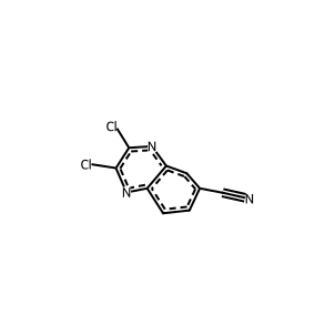 N#Cc1ccc2nc(Cl)c(Cl)nc2c1